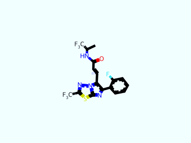 CC(NC(=O)/C=C/c1c(-c2ccccc2F)nc2sc(C(F)(F)F)nn12)C(F)(F)F